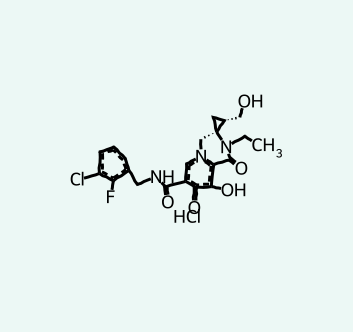 CCN1C(=O)c2c(O)c(=O)c(C(=O)NCc3cccc(Cl)c3F)cn2C[C@@]12C[C@@H]2CO.Cl